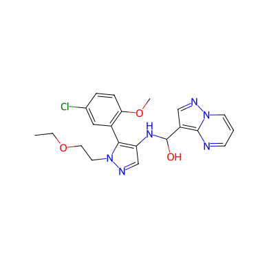 CCOCCn1ncc(NC(O)c2cnn3cccnc23)c1-c1cc(Cl)ccc1OC